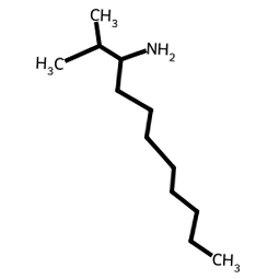 CCCCCCCCC(N)C(C)C